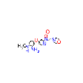 CNc1ccc(Oc2ccnc(N(CCN3CCOCC3)O[C]=O)c2)cc1N